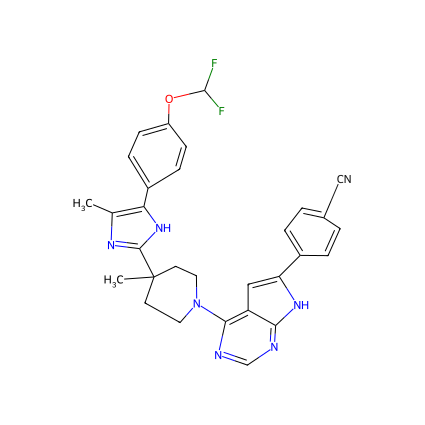 Cc1nc(C2(C)CCN(c3ncnc4[nH]c(-c5ccc(C#N)cc5)cc34)CC2)[nH]c1-c1ccc(OC(F)F)cc1